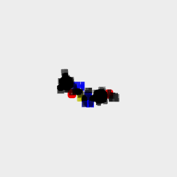 CCOc1ccc(-c2nnc(SCC(=O)Nc3cc(C)cc(C)c3)n2C)cc1